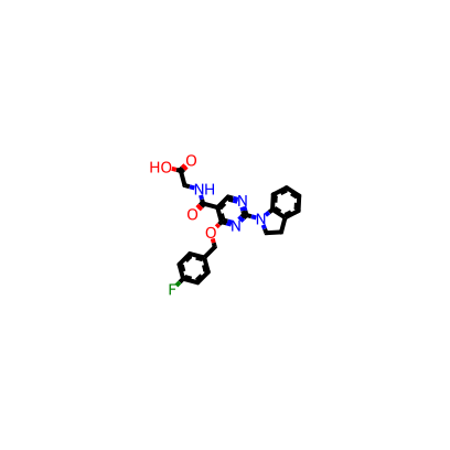 O=C(O)CNC(=O)c1cnc(N2CCc3ccccc32)nc1OCc1ccc(F)cc1